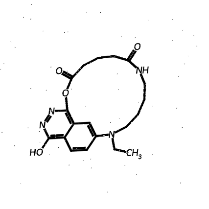 CCN1CCCCNC(=O)CCCC(=O)Oc2nnc(O)c3ccc1cc23